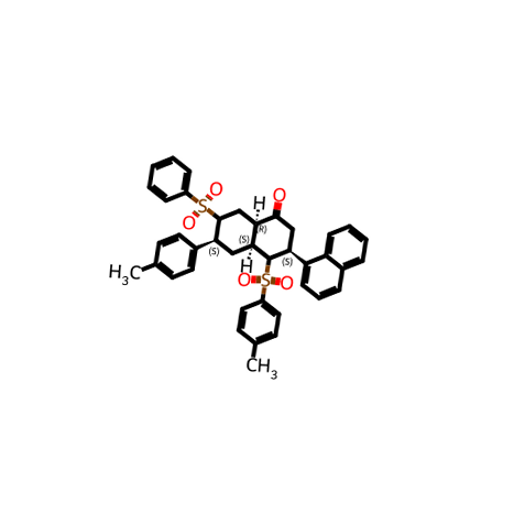 Cc1ccc([C@@H]2C[C@@H]3C(S(=O)(=O)c4ccc(C)cc4)[C@H](c4cccc5ccccc45)CC(=O)[C@@H]3CC2S(=O)(=O)c2ccccc2)cc1